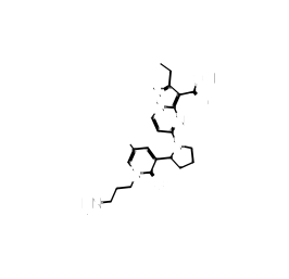 CCc1nn2ccc(N3CCCC3c3cc(F)cn(CCCN)c3=O)nc2c1C(=O)O